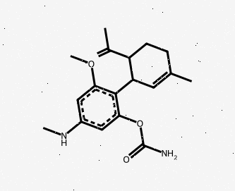 C=C(C)C1CCC(C)=CC1c1c(OC)cc(NC)cc1OC(N)=O